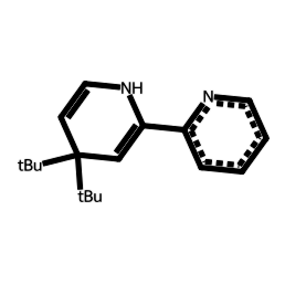 CC(C)(C)C1(C(C)(C)C)C=CNC(c2ccccn2)=C1